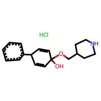 Cl.OC1(OCC2CCNCC2)C=CC(c2ccccc2)C=C1